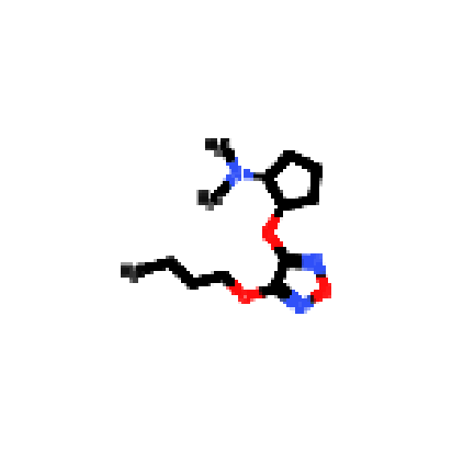 CCCCOc1nonc1O[C@@H]1CCC[C@H]1N(C)C